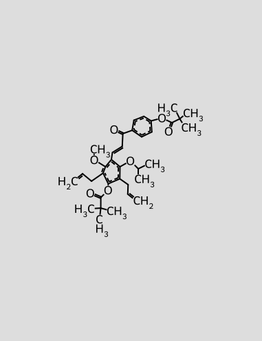 C=CCc1c(OC)c(C=CC(=O)c2ccc(OC(=O)C(C)(C)C)cc2)c(OC(C)C)c(CC=C)c1OC(=O)C(C)(C)C